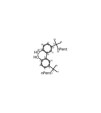 CCCCCC(C)(C)c1ccc(O)c(-c2cc(C(C)(C)CCCCC)ccc2O)c1